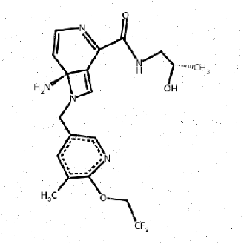 Cc1cc(CN2C=C3C(C(=O)NC[C@H](C)O)=NC=C[C@]32N)cnc1OCC(F)(F)F